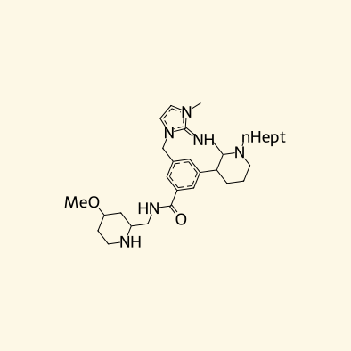 CCCCCCCN1CCCC(c2cc(Cn3ccn(C)c3=N)cc(C(=O)NCC3CC(OC)CCN3)c2)C1C